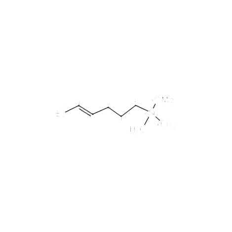 CCC=CCCC[Si](C)(C)OC